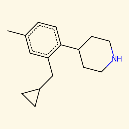 Cc1ccc(C2CCNCC2)c(CC2CC2)c1